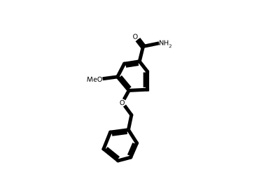 COc1cc(C(N)=O)ccc1OCc1ccccc1